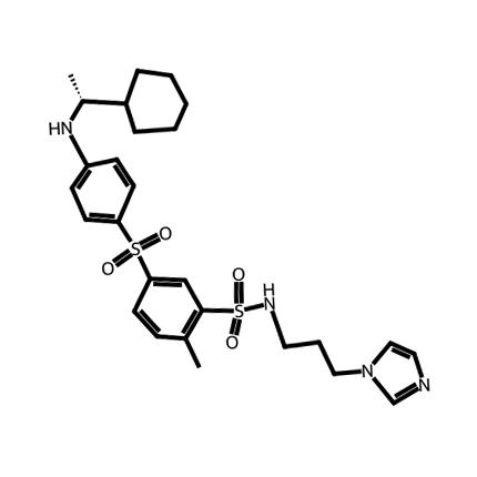 Cc1ccc(S(=O)(=O)c2ccc(N[C@H](C)C3CCCCC3)cc2)cc1S(=O)(=O)NCCCn1ccnc1